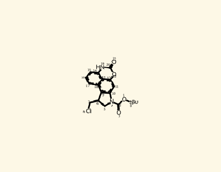 CC(C)(C)OC(=O)N1CC(CCl)c2c1cc1c3c(cccc23)NC(=O)O1